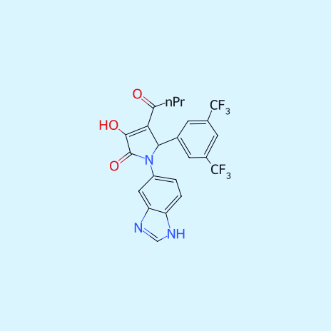 CCCC(=O)C1=C(O)C(=O)N(c2ccc3[nH]cnc3c2)C1c1cc(C(F)(F)F)cc(C(F)(F)F)c1